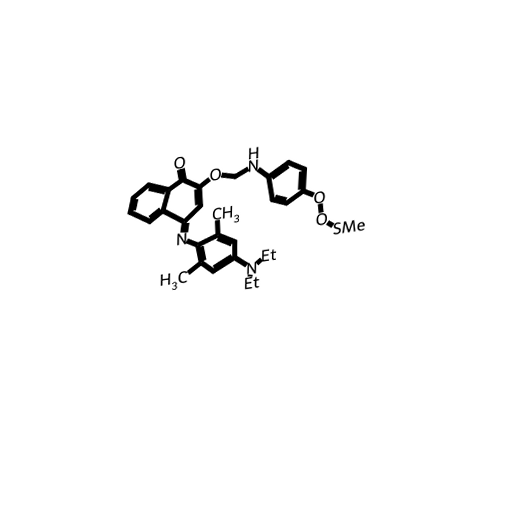 CCN(CC)c1cc(C)c(N=C2C=C(OCNc3ccc(OOSC)cc3)C(=O)c3ccccc32)c(C)c1